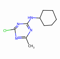 Cc1nc(Cl)nc(NC2CCCCC2)n1